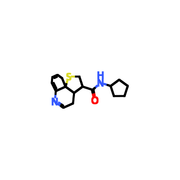 O=C(NC1CCCC1)C1CSC23CC=CC=C2N=CCC13